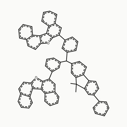 CC1(C)c2cc(-c3ccccc3)ccc2-c2ccc(C(c3cccc(-c4cc5ccccc5c5c4oc4ccc6ccccc6c45)c3)c3cccc(-c4cc5ccccc5c5c4oc4ccc6ccccc6c45)c3)cc21